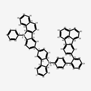 c1ccc(-n2c3ccc(-c4ccc5c(c4)c4ccccc4n5-c4ccc(-c5ccccc5-c5ccc6c(c5)-c5cccc7cccc-6c57)cc4)cc3c3ccc4ccccc4c32)cc1